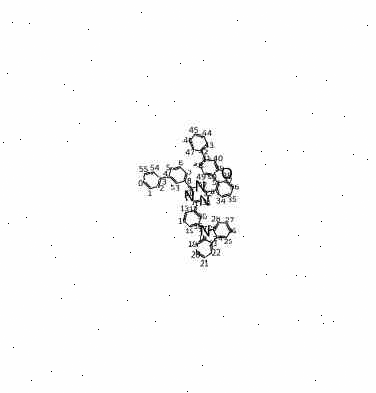 c1ccc(-c2cccc(-c3nc(-c4cccc(-n5c6ccccc6c6ccccc65)c4)nc(-c4cccc5oc6cc(-c7ccccc7)ccc6c45)n3)c2)cc1